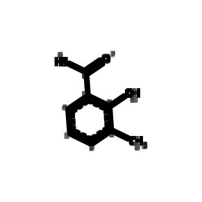 Cc1cccc(C(=O)S)c1O